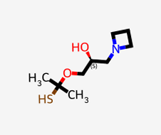 CC(C)(S)OC[C@@H](O)CN1CCC1